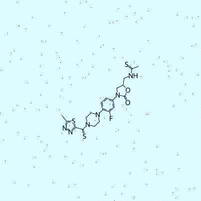 CC(=S)NCC1CN(c2ccc(N3CCN(C(=S)c4nnc(C)s4)CC3)c(F)c2)C(=O)O1